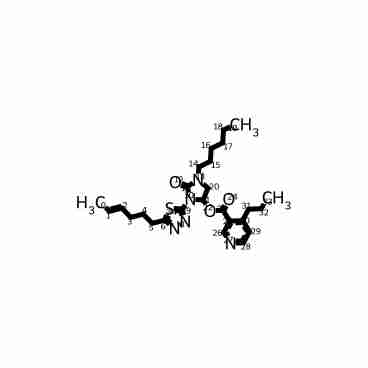 CC=CCCCc1nnc(N2C(=O)N(CCCCCC)CC2OC(=O)c2cnccc2CCC)s1